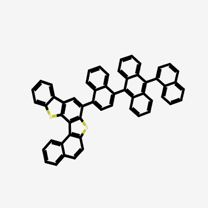 c1ccc2c(-c3c4ccccc4c(-c4ccc(-c5cc6c7ccccc7sc6c6c5sc5ccc7ccccc7c56)c5ccccc45)c4ccccc34)cccc2c1